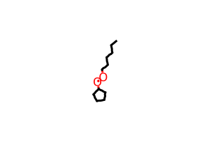 CCCCCCOOC1CCCC1